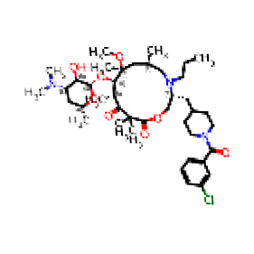 CCCN1C[C@H](C)C[C@@](C)(OC)[C@H](O[C@@H]2O[C@H](C)C[C@H](N(C)C)[C@H]2O)[C@@H](C)C(=O)C(C)(C)C(=O)OC[C@H]1CC1CCN(C(=O)c2cccc(Cl)c2)CC1